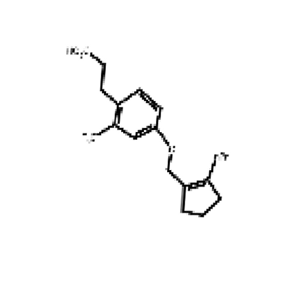 CCCC1=C(COc2ccc(CCC(=O)O)c(C(F)(F)F)c2)CCC1